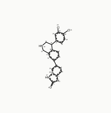 O=c1nc2ccc(-c3ccc4c(c3)CNCC4c3ccc(Cl)c(Cl)c3)cn2[nH]1